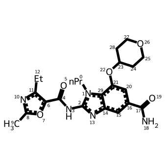 CCCn1c(NC(=O)c2oc(C)nc2CC)nc2cc(C(N)=O)cc(OC3CCOCC3)c21